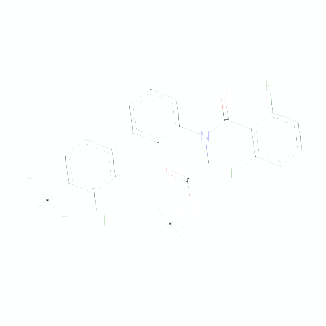 CC(C)(C)OC(=O)CN(C(=O)c1c(F)cccc1F)c1cccc(-c2ccc(C(F)(F)F)c(Cl)c2)c1